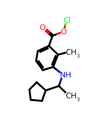 Cc1c(NC(C)C2CCCC2)cccc1C(=O)OCl